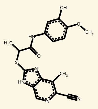 COc1ccc(NC(=O)C(C)Sc2nc3c(C)c(C#N)ncc3[nH]2)cc1O